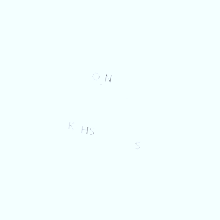 O=[N+]([O-])C=C([S-])S.[K+]